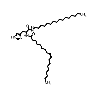 CCCCCCCC/C=C\CCCCCCCC(=O)NC(Cc1c[nH]cn1)C(=O)NCCCCCCCCCCCCCCCC